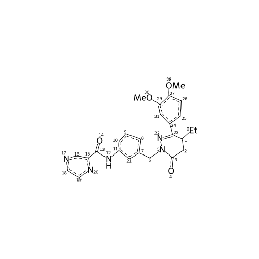 CCC1CC(=O)N(Cc2cccc(NC(=O)c3cnccn3)c2)N=C1c1ccc(OC)c(OC)c1